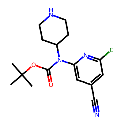 CC(C)(C)OC(=O)N(c1cc(C#N)cc(Cl)n1)C1CCNCC1